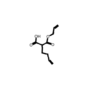 C=CCCC(C(=O)O)C(=O)OCC=C